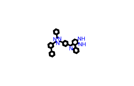 N=C1C=Cc2c(-c3ccc(-c4nc(-c5ccccc5)nc(-c5cccc(-c6ccccc6)c5)n4)cc3)nc3ccccc3c2C1=N